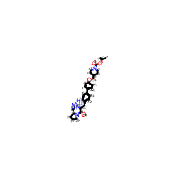 CC(C)OC(=O)N1CCC(COc2ccc(-c3ccc(CC(N)C(=O)N4CCC[C@H]4C#N)cc3)cc2)CC1